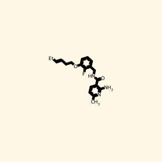 CCC=CCCOc1cccc(CNC(=O)c2ccc(C)nc2N)c1F